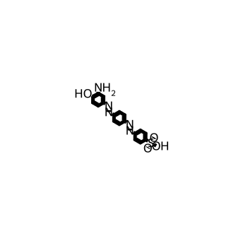 Nc1cc(N=Nc2ccc(N=Nc3ccc(S(=O)(=O)O)cc3)cc2)ccc1O